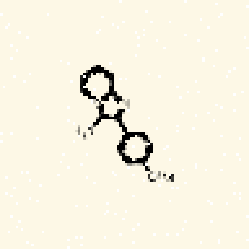 COc1ccc(-c2nc3ccccn3c2N)cc1